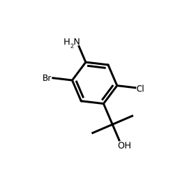 CC(C)(O)c1cc(Br)c(N)cc1Cl